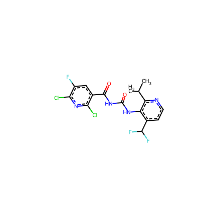 CC(C)c1nccc(C(F)F)c1NC(=O)NC(=O)c1cc(F)c(Cl)nc1Cl